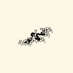 CC(C)(C)OC(=O)N1CC(CCC(Nc2cccc(SNC(=O)c3cnc(C(C)(C)C)nc3Cl)n2)c2cc(C(C)(C)C)ccn2)CC1(C)C